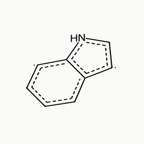 [c]1c[nH]c2[c]cccc12